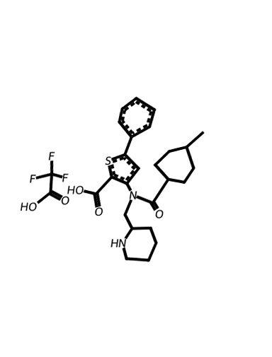 CC1CCC(C(=O)N(CC2CCCCN2)c2cc(-c3ccccc3)sc2C(=O)O)CC1.O=C(O)C(F)(F)F